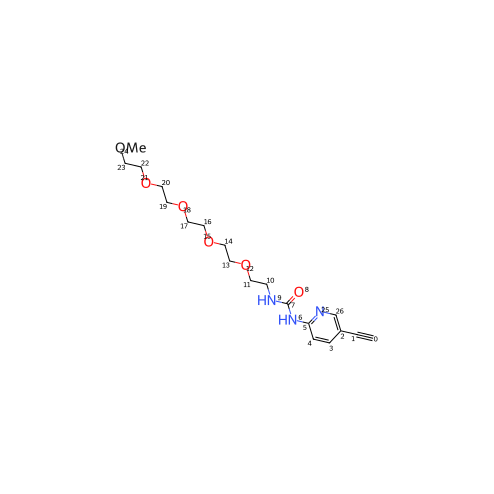 C#Cc1ccc(NC(=O)NCCOCCOCCOCCOCCOC)nc1